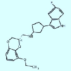 CCOc1cccc2c1O[C@@H](CNC1CCC(c3c[nH]c4ccc(F)cc34)C1)CO2